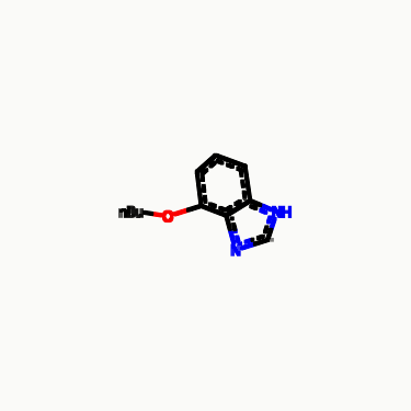 CCCCOc1cccc2[nH][c]nc12